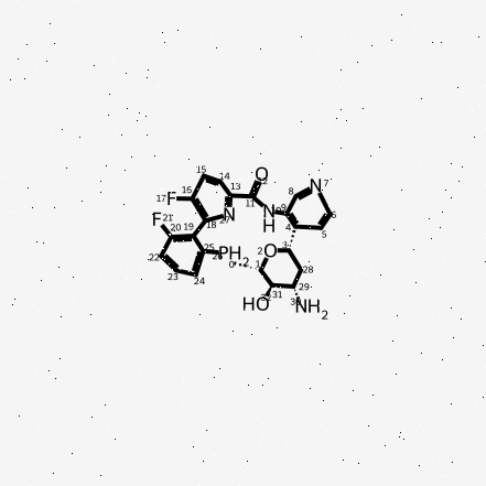 C[C@@H]1O[C@H](c2ccncc2NC(=O)c2ccc(F)c(-c3c(F)cccc3P)n2)C[C@H](N)[C@H]1O